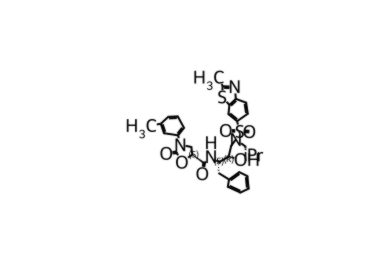 Cc1cccc(N2C[C@@H](C(=O)N[C@@H](Cc3ccccc3)[C@H](O)CN(CC(C)C)S(=O)(=O)c3ccc4nc(C)sc4c3)OC2=O)c1